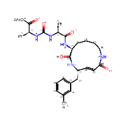 COC(=O)[C@@H](NC(=O)N[C@H](C(=O)N[C@H]1CCCCNC(=O)/C=C/[C@H](Cc2cccc(C(F)(F)F)c2)NC1=O)C(C)C)C(C)C